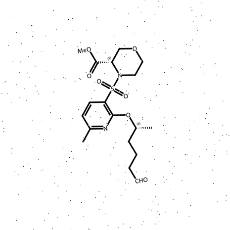 COC(=O)[C@@H]1COCCN1S(=O)(=O)c1ccc(C)nc1O[C@H](C)CCCC=O